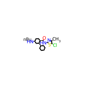 CCCCNc1ccc(C(=O)Nc2nc(C)c(Cl)s2)c(-c2ccccc2)c1